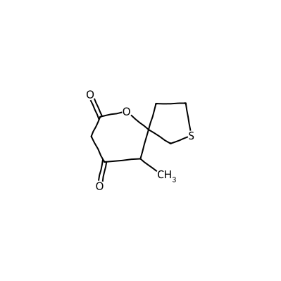 CC1C(=O)CC(=O)OC12CCSC2